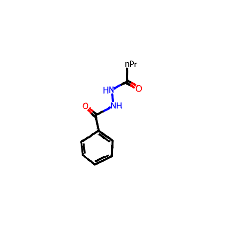 CCCC(=O)NNC(=O)c1ccccc1